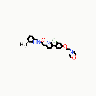 Cc1cccc(CNC(=O)Cc2ccc(-c3ccc(OCCN4CCOCC4)cc3Cl)cn2)c1